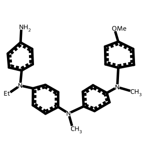 CCN(c1ccc(N)cc1)c1ccc(N(C)c2ccc(N(C)c3ccc(OC)cc3)cc2)cc1